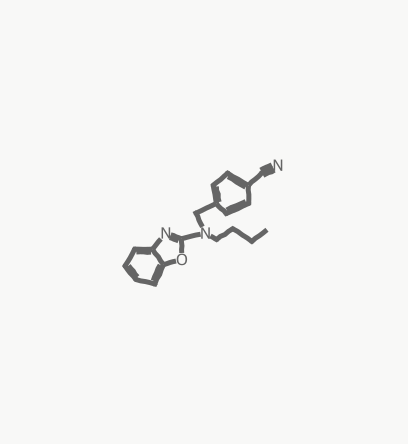 CCCCN(Cc1ccc(C#N)cc1)c1nc2ccccc2o1